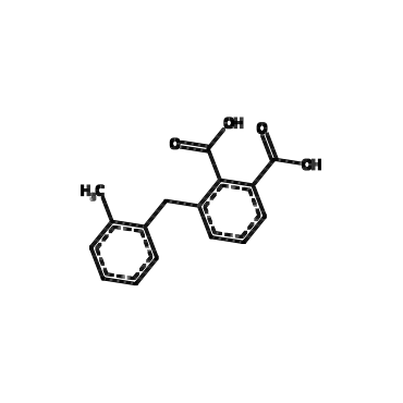 Cc1ccccc1Cc1cccc(C(=O)O)c1C(=O)O